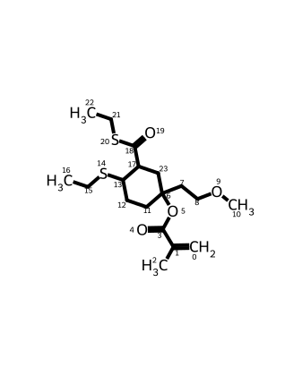 C=C(C)C(=O)OC1(CCOC)CCC(SCC)C(C(=O)SCC)C1